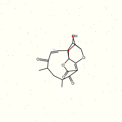 CC1CC(C)C(=O)C2=C3OC4C(C)CC3(OC2=O)C(/C=C\C1=O)C4O